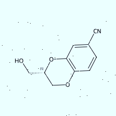 N#Cc1ccc2c(c1)O[C@@H](CO)CO2